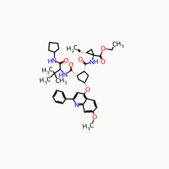 C=C[C@@H]1C[C@]1(NC(=O)[C@@H]1C[C@H](Oc2cc(-c3ccccc3)nc3cc(OC)ccc23)C[C@@H]1C(=O)N[C@H](C(=O)NC1CCCC1)C(C)(C)C)C(=O)OCC